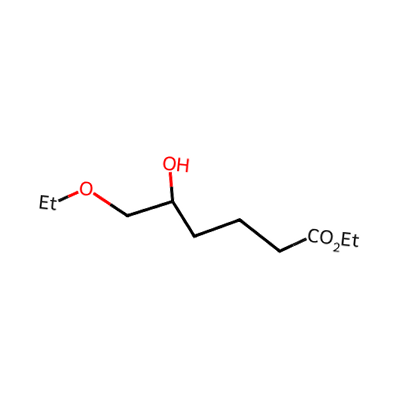 CCOCC(O)CCCC(=O)OCC